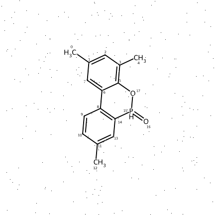 Cc1cc(C)c2c(c1)-c1ccc(C)cc1[PH](=O)O2